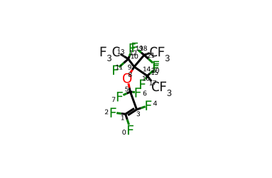 FC(F)=C(F)C(F)(F)OC(C(F)(F)C(F)(F)F)(C(F)(F)C(F)(F)F)C(F)(F)C(F)(F)F